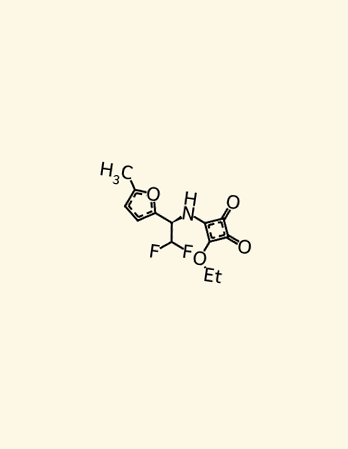 CCOc1c(N[C@H](c2ccc(C)o2)C(F)F)c(=O)c1=O